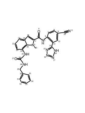 Cn1c(C(=O)Nc2ccc(C#N)cc2-c2nnn[nH]2)cc2cccc(NC(=O)NCc3ccccc3)c21